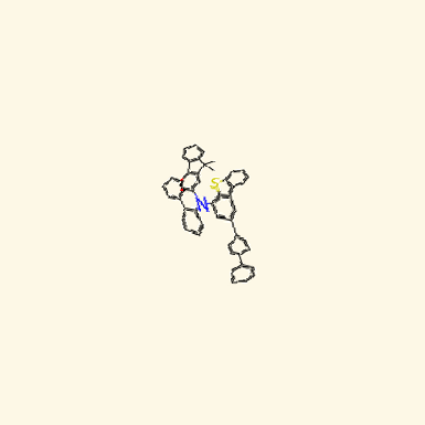 CC1(C)c2ccccc2-c2ccc(N(c3ccccc3-c3ccccc3)c3cc(-c4ccc(-c5ccccc5)cc4)cc4c3sc3ccccc34)cc21